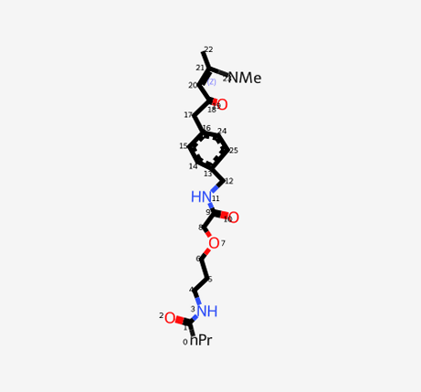 CCCC(=O)NCCCOCC(=O)NCc1ccc(CC(=O)/C=C(/C)NC)cc1